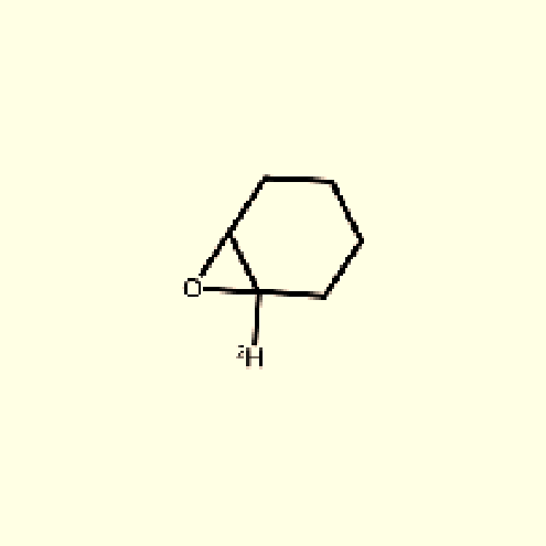 [2H]C12CCCCC1O2